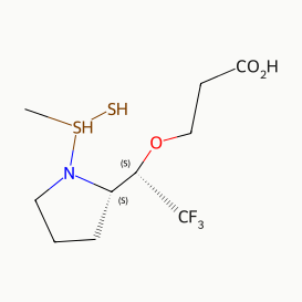 C[SH](S)N1CCC[C@H]1[C@H](OCCC(=O)O)C(F)(F)F